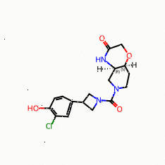 O=C1CO[C@H]2CCN(C(=O)N3CC(c4ccc(O)c(Cl)c4)C3)C[C@H]2N1